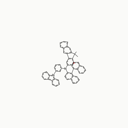 CC1(C)c2ccc(N(c3cccc(-n4c5ccccc5c5ccccc54)c3)c3ccc4ccccc4c3-c3cccc4ccccc34)cc2-c2cc3ccccc3cc21